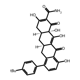 CC(C)(C)c1ccc(-c2ccc(O)c3c2C[C@H]2C[C@H]4CC(O)=C(C(N)=O)C(=O)[C@@]4(O)C(O)=C2C3=O)cc1